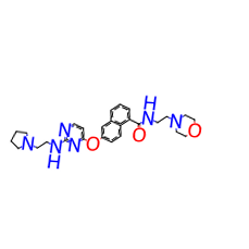 O=C(NCCN1CCOCC1)c1cccc2cc(Oc3ccnc(NCCN4CCCC4)n3)ccc12